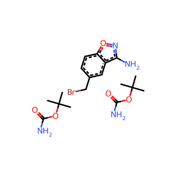 CC(C)(C)OC(N)=O.CC(C)(C)OC(N)=O.Nc1noc2ccc(CBr)cc12